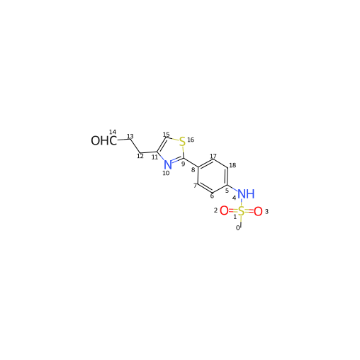 CS(=O)(=O)Nc1ccc(-c2nc(CCC=O)cs2)cc1